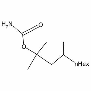 CCCCCCC(C)CC(C)(C)OC(N)=O